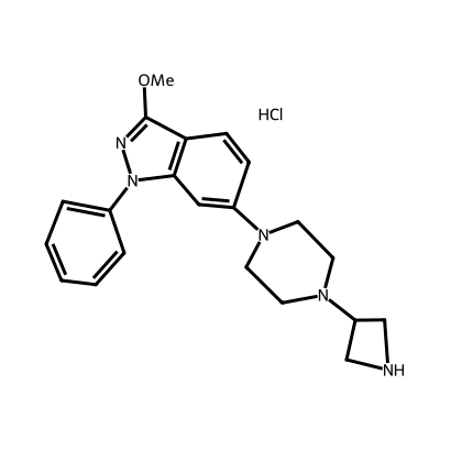 COc1nn(-c2ccccc2)c2cc(N3CCN(C4CNC4)CC3)ccc12.Cl